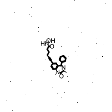 C[C@@H]1N=C(c2ccccc2)c2cc(C#CCCCC(=O)NO)ccc2N(C)C1=O